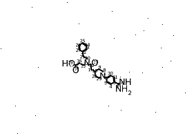 N=C(N)c1ccc(N2CCC(CC(=O)N(CCC(=O)O)CCc3ccccc3)CC2)cc1